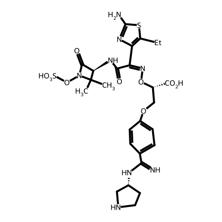 CCc1sc(N)nc1/C(=N/O[C@@H](COc1ccc(C(=N)N[C@@H]2CCNC2)cc1)C(=O)O)C(=O)N[C@@H]1C(=O)N(OS(=O)(=O)O)C1(C)C